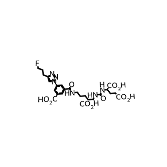 O=C(O)CCC(NC(=O)N[C@@H](CCCCNC(=O)c1cc(C(=O)O)cc(-n2cc(CCCF)nn2)c1)C(=O)O)C(=O)O